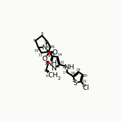 C=CCOC(=O)N1C2CCC1CC(c1cc(NCc3ccc(Cl)s3)[nH]n1)C2